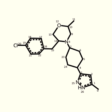 Cc1cc(C2CCC(N3CC(C)OCC3Cc3ccc(Cl)cc3)CC2)n[nH]1